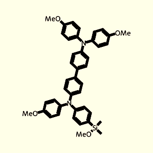 COc1ccc(N(c2ccc(OC)cc2)c2ccc(-c3ccc(N(c4ccc(OC)cc4)c4ccc([Si](C)(C)OC)cc4)cc3)cc2)cc1